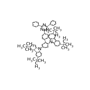 CC(C)(C)C1=CC=C2C(C1)c1cc(C(C)(C)C)ccc1N2c1ccc(-n2c3ccc(C(C)(C)C)cc3c3cc(C(C)(C)C)ccc32)c(-c2ccc(-c3nc(-c4ccccc4)nc(-c4ccccc4)n3)cc2)c1